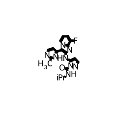 Cc1nccc(-c2c(Nc3ccnn3C(=O)NC(C)C)nc3c(F)cccn23)n1